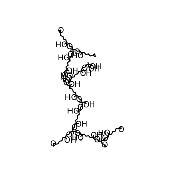 COCC(C)(COCC(O)CCCCC(O)COCC(C)(COCC(O)CCCCC(O)COCC(C)(CO)COCC(O)CCCCC(O)COCC(C)(COCC(O)CCCCC(O)COCC(C)(CO)CO)COCC(O)CCCCC(O)COCC(C)(COCC(O)CCCCC1CC1)COCC(O)CCCCC1CO1)COCC(O)CCCCC1CO1)COCC(O)CCCCC1CO1